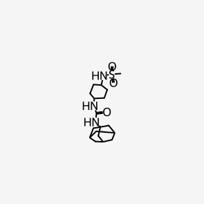 CS(=O)(=O)NC1CCC(NC(=O)NC23CC4CC(CC(C4)C2)C3)CC1